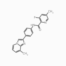 Cc1cnc(C(=O)Nc2ccc(-c3cn4cccc(C)c4n3)cc2)c(F)c1